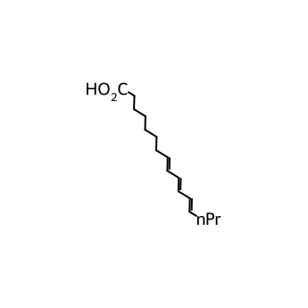 CCC/C=C/C=C/C=C/CCCCCCC(=O)O